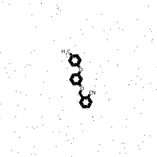 Cc1ccc(Oc2cccc(OCc3ccccc3C#N)c2)cc1